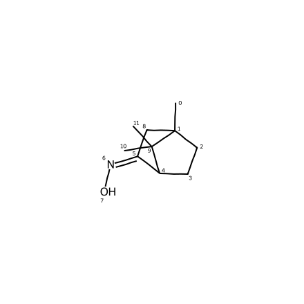 CC12CCC(C(=NO)C1)C2(C)C